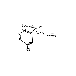 CO[C@@](O)(CCCC(C)C)c1cc(Cl)ccn1